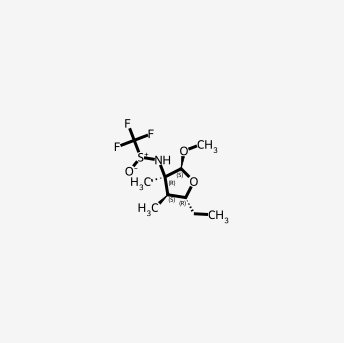 CC[C@H]1O[C@H](OC)[C@](C)(N[S+]([O-])C(F)(F)F)[C@@H]1C